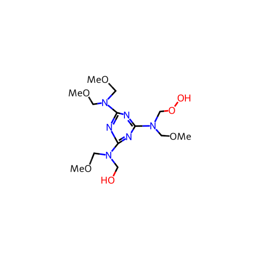 COCN(CO)c1nc(N(COC)COC)nc(N(COC)COO)n1